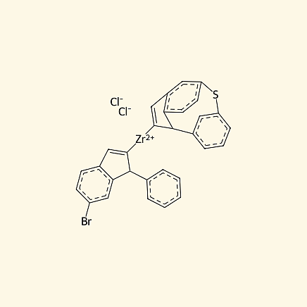 Brc1ccc2c(c1)C(c1ccccc1)[C]([Zr+2][C]1=Cc3cc4ccc3C1c1cccc(c1)S4)=C2.[Cl-].[Cl-]